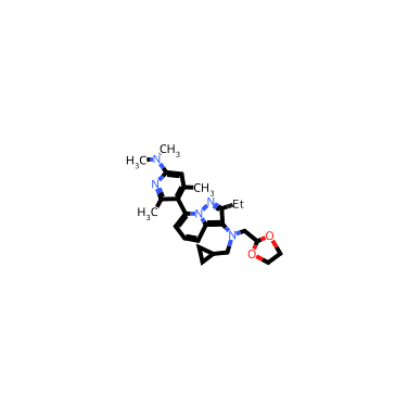 CCc1nn2c(-c3c(C)cc(N(C)C)nc3C)cccc2c1N(CC1CC1)CC1OCCO1